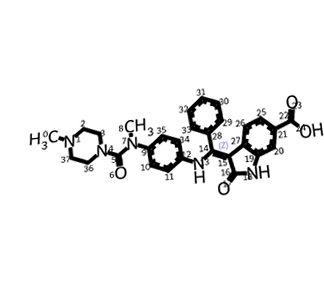 CN1CCN(C(=O)N(C)c2ccc(N/C(=C3\C(=O)Nc4cc(C(=O)O)ccc43)c3ccccc3)cc2)CC1